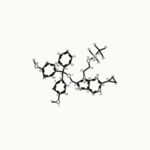 COc1ccc(C(OCc2nc3cnc(C4CC4)nc3n2CCO[Si](C)(C)C(C)(C)C)(c2ccccc2)c2ccc(OC)cc2)cc1